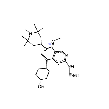 C=C(c1nc(NC(C)CCC)ncc1/C(=N\C)OC1CC(C)(C)N(C)C(C)(C)C1)[C@H]1CC[C@H](O)CC1